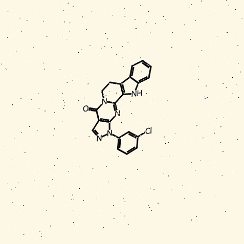 O=c1c2cnn(-c3cccc(Cl)c3)c2nc2n1CCc1c-2[nH]c2ccccc12